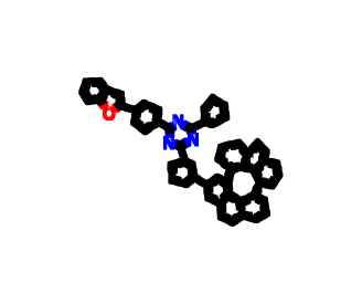 c1ccc(-c2nc(-c3ccc(-c4cc5ccccc5o4)cc3)nc(-c3cccc(-c4cc5ccc6cccc7c8cccc9ccc%10cccc(c(c4)c5c67)c%10c98)c3)n2)cc1